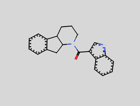 O=C(c1c[nH]c2ccccc12)N1CCCC2c3ccccc3CC21